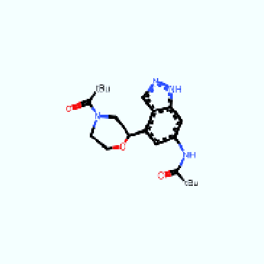 CC(C)(C)C(=O)Nc1cc(C2CN(C(=O)C(C)(C)C)CCO2)c2cn[nH]c2c1